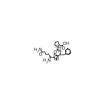 NC(=O)CCC[C@H](N)c1noc([C@H](Cc2ccccc2)NC(=O)N2CCCC2C(=O)O)n1